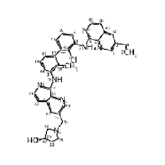 C=Cc1cnc2c(Nc3cccc(-c4cccc(Nc5nccc6cc(CN7CC[C@@H](O)C7)cnc56)c4C)c3Cl)nccc2c1